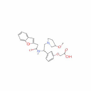 COC1CCN(CC(c2cccc(OCC(=O)O)c2)N(C)C(=O)Cc2cc3ccccc3o2)C1